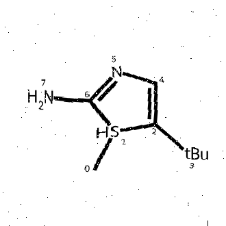 C[SH]1C(C(C)(C)C)=CN=C1N